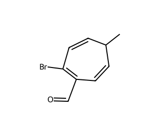 CC1C=CC(Br)=C(C=O)C=C1